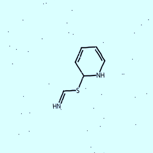 N=CSC1C=CC=CN1